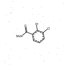 CCc1c(Cl)cccc1C(=O)NC